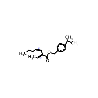 C/C=C(\C=C/CCC)C(=O)OCc1ccc(C(C)C)cc1